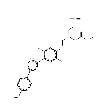 CC(C)Nc1ccc(-c2nnc(-c3cc(F)c(OC[C@@H](COP(=O)(O)O)NC(=O)OC(C)(C)C)cc3Cl)s2)cn1